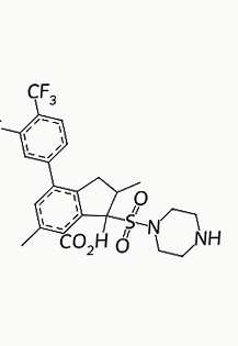 Cc1cc(-c2ccc(C(F)(F)F)c(F)c2)c2c(c1)C(C(=O)O)(S(=O)(=O)N1CCNCC1)C(C)C2